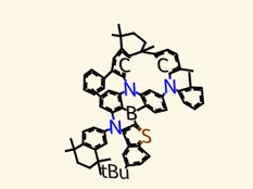 Cc1cc2c3c(c1)N(c1ccc4c(c1)C(C)(C)CCC4(C)C)c1c(sc4ccc(C(C)(C)C)cc14)B3c1ccc3cc1N2c1cc2c(cc1-c1ccccc1)C(C)(C)CCC2(C)c1ccc(C)c(c1)N3c1ccccc1C